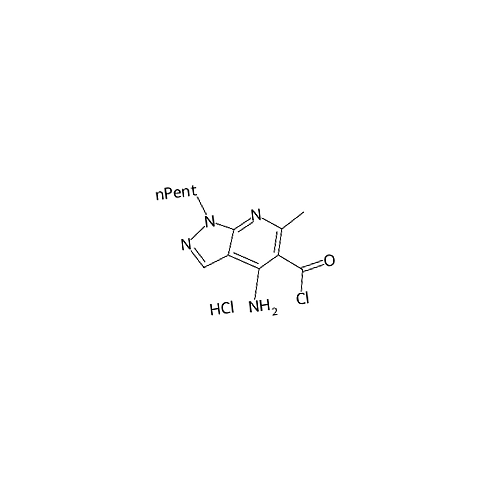 CCCCCn1ncc2c(N)c(C(=O)Cl)c(C)nc21.Cl